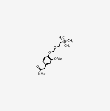 CNC(=O)Cc1ccc(OCOCC[Si](C)(C)C)c(OC)c1